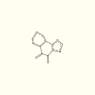 O=C1C(=O)c2ncoc2-c2ccccc21